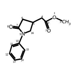 COC(=O)CC1CC(=O)N(c2ccccc2)C1